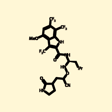 COc1cc(C(F)(F)F)c(C(F)(F)F)c2[nH]c(C(=O)N[C@@H](CC(C)C)NOC(C#N)CC3CCNC3=O)c(C(F)(F)F)c12